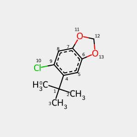 CC(C)(C)c1cc2c(cc1Cl)OCO2